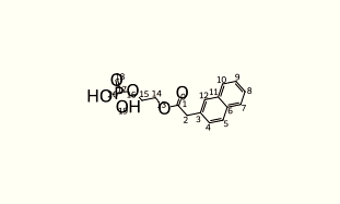 O=C(Cc1ccc2ccccc2c1)OCCOP(=O)(O)O